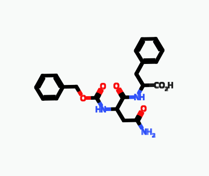 NC(=O)CC(NC(=O)OCc1ccccc1)C(=O)NC(Cc1ccccc1)C(=O)O